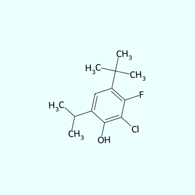 CC(C)c1cc(C(C)(C)C)c(F)c(Cl)c1O